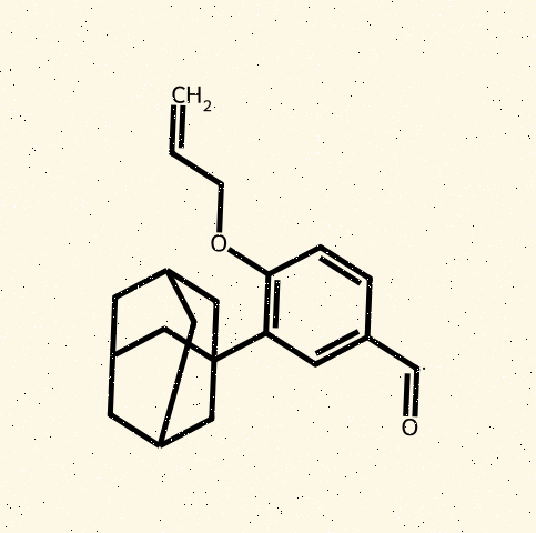 C=CCOc1ccc([C]=O)cc1C12CC3CC(CC(C3)C1)C2